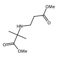 COC(=O)CCNC(C)(C)C(=O)OC